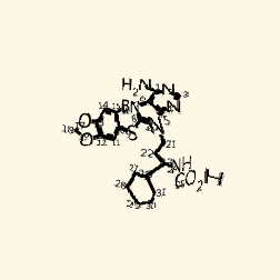 Nc1ncnc2c1nc(Sc1cc3c(cc1Br)OCO3)n2CCC(NC(=O)O)C1CCCCC1